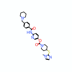 Cn1ccnc1SC1CCN(C(=O)Oc2ccc(NC(=O)c3ccc(CN4CCCCC4)cc3)nc2)CC1